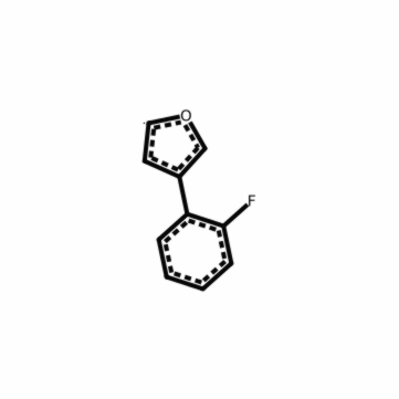 Fc1ccccc1-c1c[c]oc1